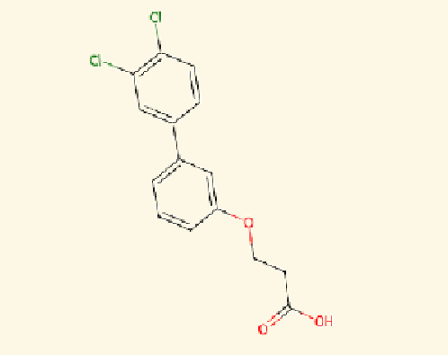 O=C(O)CCOc1cccc(-c2ccc(Cl)c(Cl)c2)c1